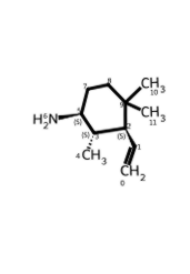 C=C[C@H]1[C@H](C)[C@@H](N)CCC1(C)C